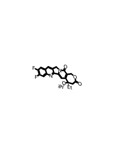 CC[C@@]1(OC(C)C)CC(=O)OCc2c1cc1n(c2=O)Cc2cc3cc(F)c(F)cc3nc2-1